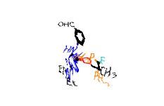 CCN(CC)c1nc(Nc2cccc(C=O)c2)nc(OCC(C)(P)C(F)P)n1